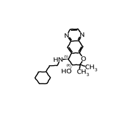 CC1(C)Oc2cc3nccnc3cc2[C@H](NCCC2CCCCC2)[C@H]1O